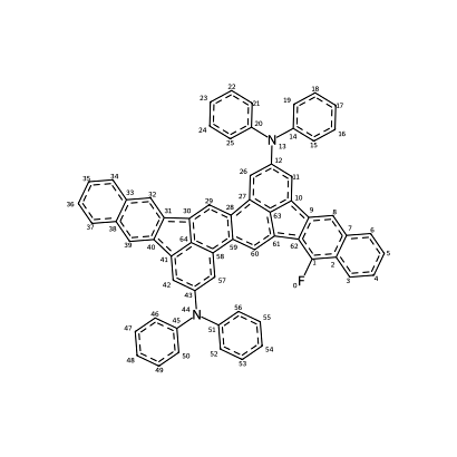 Fc1c2ccccc2cc2c3cc(N(c4ccccc4)c4ccccc4)cc4c5cc6c7cc8ccccc8cc7c7cc(N(c8ccccc8)c8ccccc8)cc(c5cc(c12)c43)c76